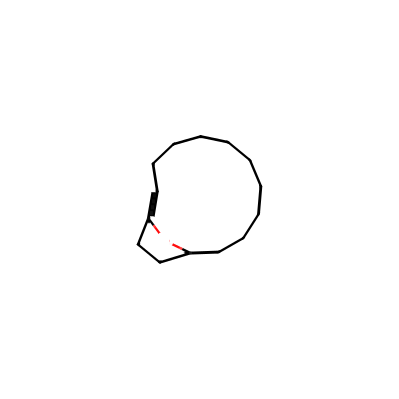 C1=C2\CCC(CCCCCCCCC/1)O2